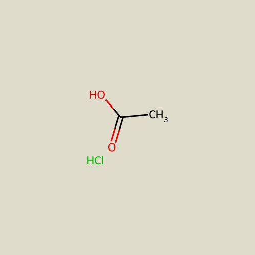 CC(=O)O.Cl